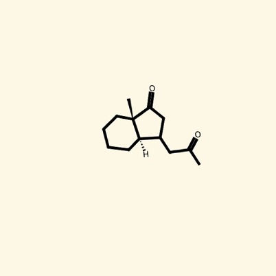 CC(=O)CC1CC(=O)[C@@]2(C)CCCC[C@H]12